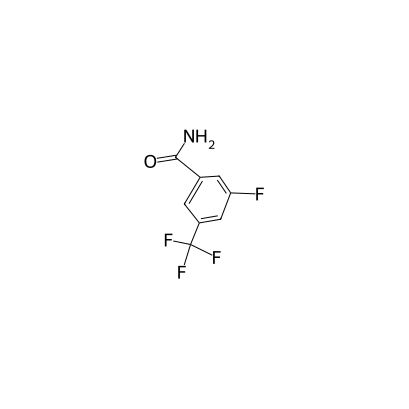 NC(=O)c1cc(F)cc(C(F)(F)F)c1